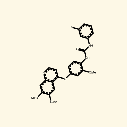 COc1cc(Oc2ccnc3cc(OC)c(OC)cc23)ccc1NC(=O)Nc1cccc(F)c1